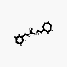 O=C(NCCC1CCCCCC1)OCc1ccccc1